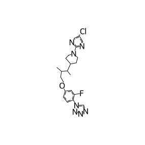 CC(CCOc1ccc(-n2cnnn2)c(F)c1)C(C)C1CCN(c2ncc(Cl)cn2)CC1